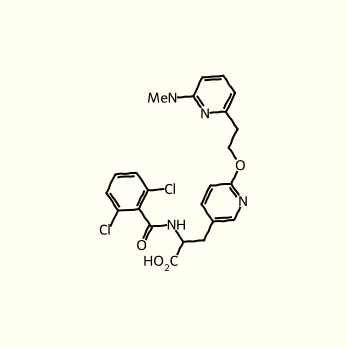 CNc1cccc(CCOc2ccc(CC(NC(=O)c3c(Cl)cccc3Cl)C(=O)O)cn2)n1